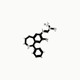 CCN(C)/C=N/c1cc2c(cc1Br)C(c1ccccc1)OCCC2